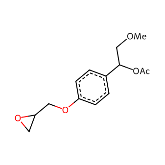 COCC(OC(C)=O)c1ccc(OCC2CO2)cc1